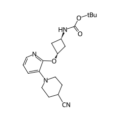 CC(C)(C)OC(=O)N[C@H]1C[C@@H](Oc2ncccc2N2CCC(C#N)CC2)C1